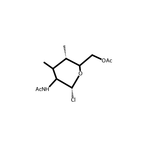 CC(=O)NC1C(C)[C@H](C)C(COC(C)=O)O[C@@H]1Cl